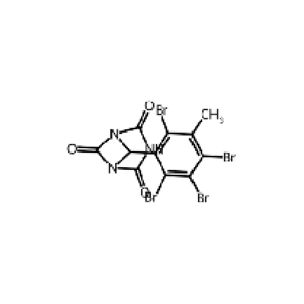 Cc1c(Br)c(Br)c(Br)c(C2N3C(=O)NC(=O)N2C3=O)c1Br